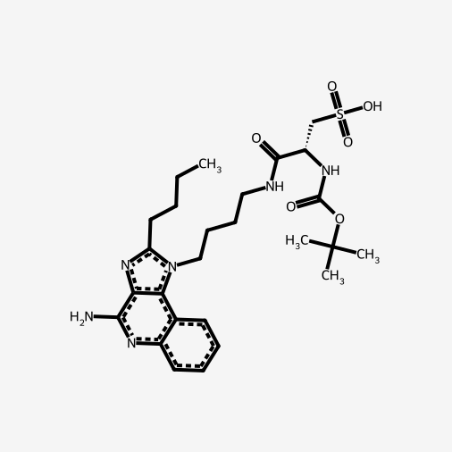 CCCCc1nc2c(N)nc3ccccc3c2n1CCCCNC(=O)[C@H](CS(=O)(=O)O)NC(=O)OC(C)(C)C